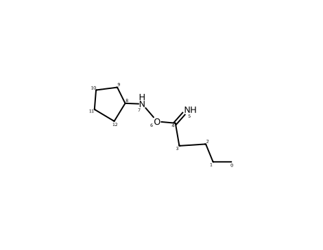 CCCCC(=N)ONC1CCCC1